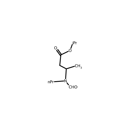 CCCN([C]=O)C(C)CC(=O)OC(C)C